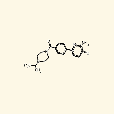 CC(C)N1CCN(C(=O)c2ccc(-c3ccc(=O)n(C)n3)cc2)CC1